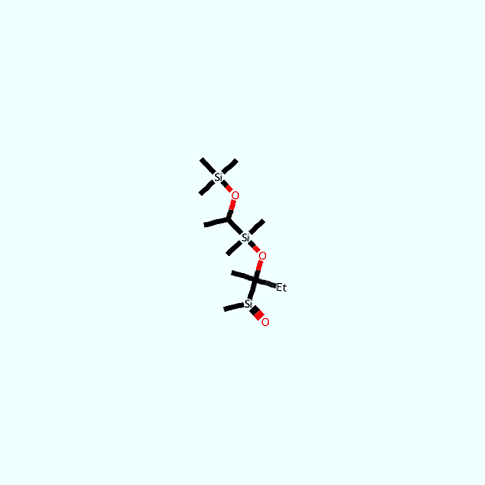 CCC(C)(O[Si](C)(C)C(C)O[Si](C)(C)C)[Si](C)=O